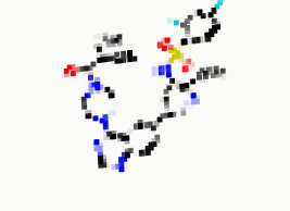 C=C(OC)C(=O)N1CCN(c2ncnc3ccc(-c4cnc(OC)c(NS(=O)(=O)c5ccc(F)cc5F)c4)cc23)CC1